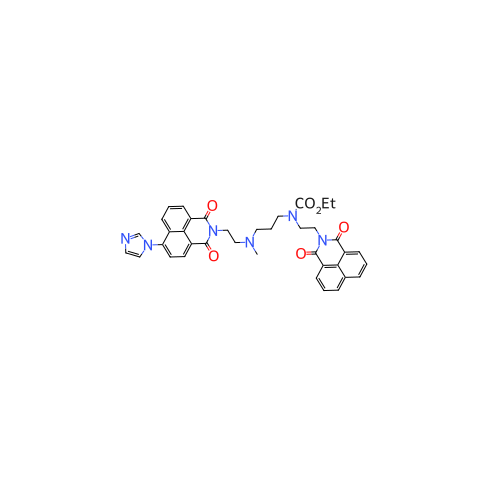 CCOC(=O)N(CCCN(C)CCN1C(=O)c2cccc3c(-n4ccnc4)ccc(c23)C1=O)CCN1C(=O)c2cccc3cccc(c23)C1=O